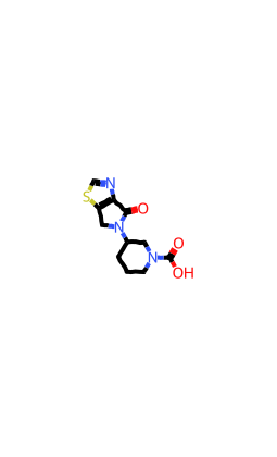 O=C(O)N1CCCC(N2Cc3scnc3C2=O)C1